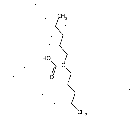 CCCCCOCCCCC.O=CO